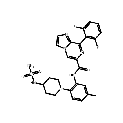 NS(=O)(=O)NC1CCN(c2ccc(F)cc2NC(=O)c2cn3ccnc3c(-c3c(F)cccc3F)n2)CC1